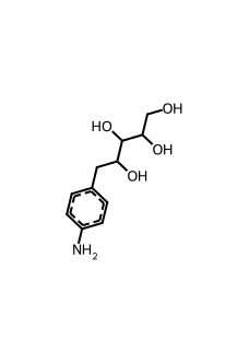 Nc1ccc(CC(O)C(O)C(O)CO)cc1